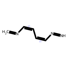 C=N/C=C\C=C/N=N